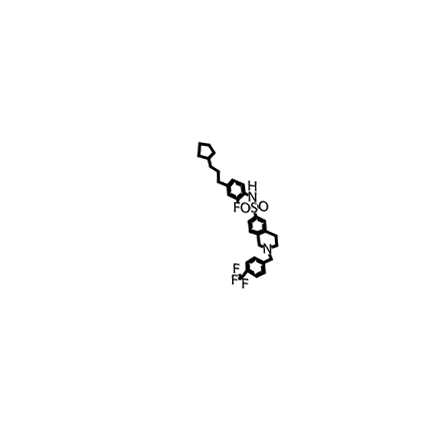 O=S(=O)(Nc1ccc(CCCC2CCCC2)cc1F)c1ccc2c(c1)CCN(Cc1ccc(C(F)(F)F)cc1)C2